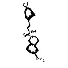 Nc1ccc2c(c1)CCN(C(=S)NCCc1ccc(Cl)cc1)C2